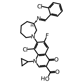 O=C(O)c1cn(C2CC2)c2c(Cl)c(N3CCCC[C@@H](N=Cc4ccccc4Cl)C3)c(F)cc2c1=O